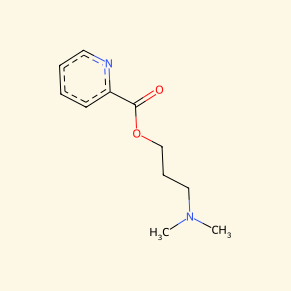 CN(C)CCCOC(=O)c1ccccn1